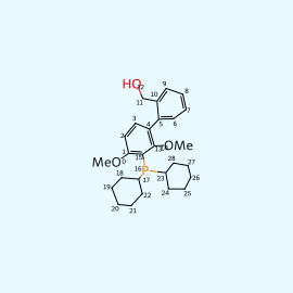 COc1ccc(-c2ccccc2CO)c(OC)c1P(C1CCCCC1)C1CCCCC1